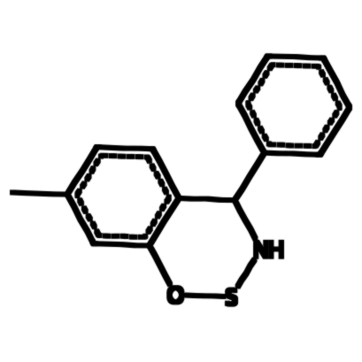 Cc1ccc2c(c1)OSNC2c1ccccc1